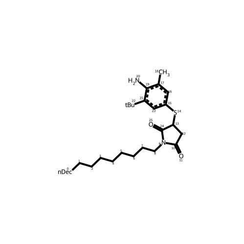 CCCCCCCCCCCCCCCCCCN1C(=O)CC(Sc2cc(C)c(N)c(C(C)(C)C)c2)C1=O